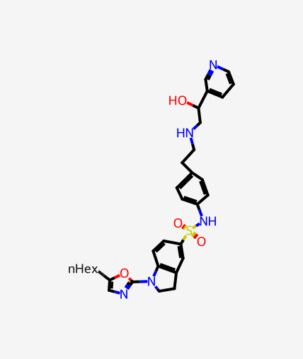 CCCCCCc1cnc(N2CCc3cc(S(=O)(=O)Nc4ccc(CCNCC(O)c5cccnc5)cc4)ccc32)o1